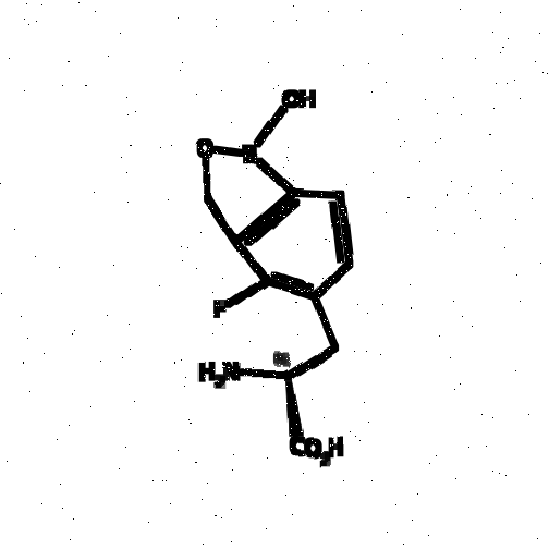 N[C@@H](Cc1ccc2c(c1F)COB2O)C(=O)O